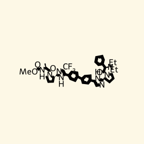 CCN(CC)[C@@H](C(=O)N1CCC[C@H]1c1ncc(-c2ccc(-c3ccc(-c4[nH]c([C@@H]5CCCN5C(=O)[C@H](C)NC(=O)OC)nc4C(F)(F)F)cc3)cc2)[nH]1)c1ccccc1